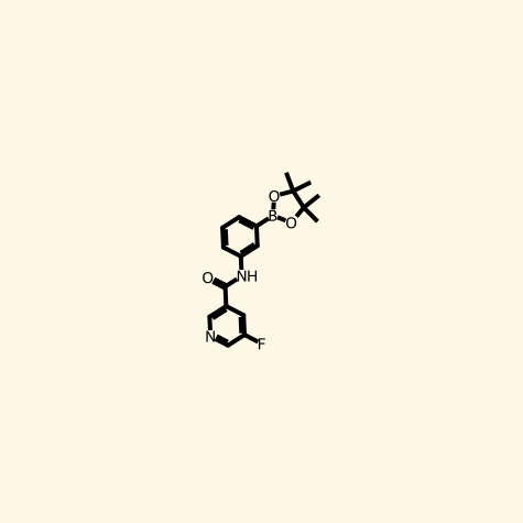 CC1(C)OB(c2cccc(NC(=O)c3cncc(F)c3)c2)OC1(C)C